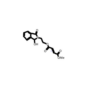 COC(=O)/C=C/C(=O)OCCN1C(=O)c2ccccc2C1O